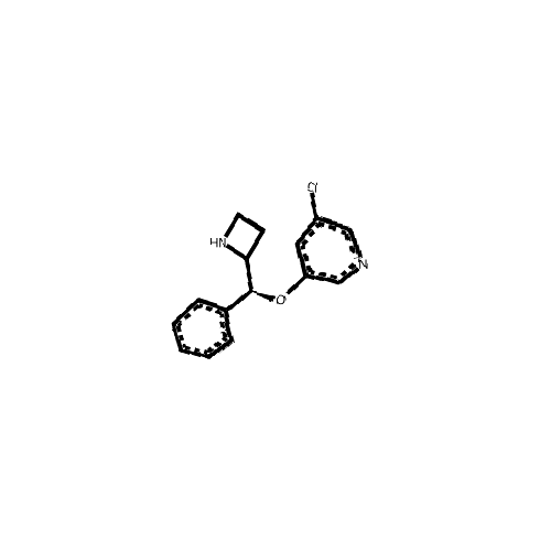 Clc1cncc(O[C@@H](c2ccccc2)C2CCN2)c1